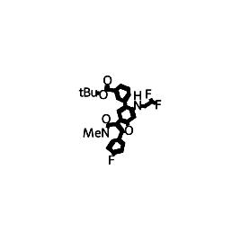 CNC(=O)c1c(-c2ccc(F)cc2)oc2cc(NCC(F)F)c(-c3cccc(C(=O)OC(C)(C)C)c3)cc12